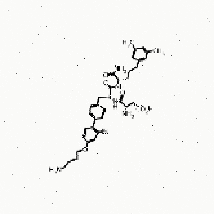 CCc1cc(OCCCCN)ccc1-c1ccc(C[C@H](NC(=O)[C@@H](N)CC(=O)O)C(=O)N[C@@H](CCCc2cc(C)cc(C)c2)C(N)=O)cc1